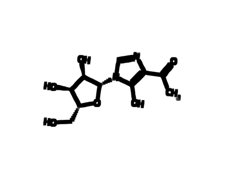 CC(=O)c1ncn([C@@H]2O[C@H](CO)[C@@H](O)[C@H]2O)c1O